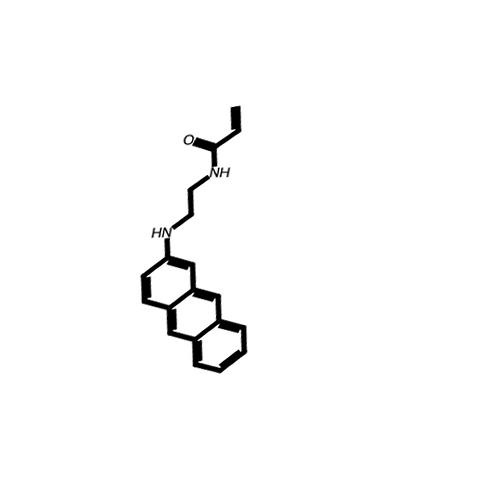 C=CC(=O)NCCNc1ccc2cc3ccccc3cc2c1